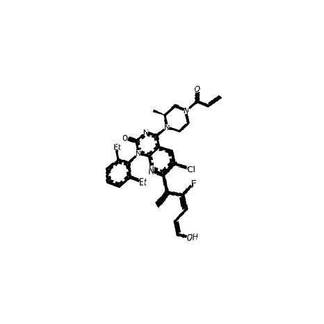 C=CC(=O)N1CCN(c2nc(=O)n(-c3c(CC)cccc3CC)c3nc(C(=C)/C(F)=C\C=C/O)c(Cl)cc23)[C@@H](C)C1